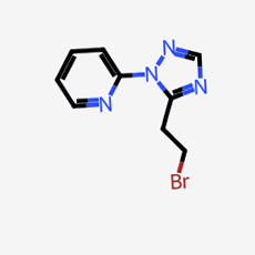 BrCCc1ncnn1-c1ccccn1